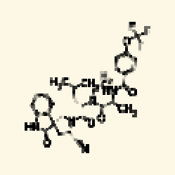 CCN(C(=O)[C@H](C)NC(=O)c1ccc(OC(F)(F)F)cc1)[C@@H](CC(C)C)C(=O)N1C[C@]2(C[C@H]1C#N)C(=O)Nc1ccccc12